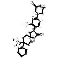 CN(C)[C@]1(c2ccccc2)CC[C@@]2(CC1)CN(c1cnc(N3CCNC(=O)C3)nc1C(F)(F)F)C(=O)N2